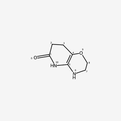 O=C1CCC2=C(NCCO2)N1